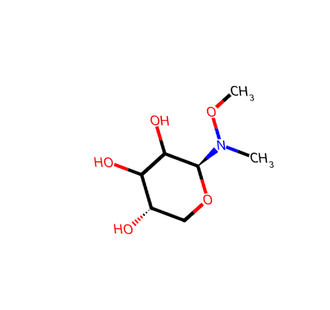 CON(C)[C@H]1OC[C@H](O)C(O)C1O